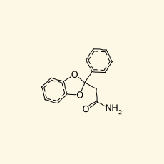 NC(=O)CC1(c2ccccc2)Oc2ccccc2O1